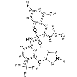 CN1CCC(Oc2cc(NS(=O)(=O)c3sc(Cl)cc3-c3ccc(F)cc3F)ccc2C(F)(F)F)C1